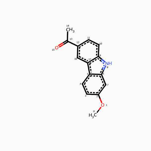 COc1ccc2c(c1)[nH]c1ccc(C(C)=O)cc12